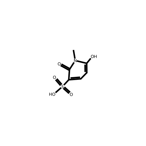 Cn1c(O)ccc(S(=O)(=O)O)c1=O